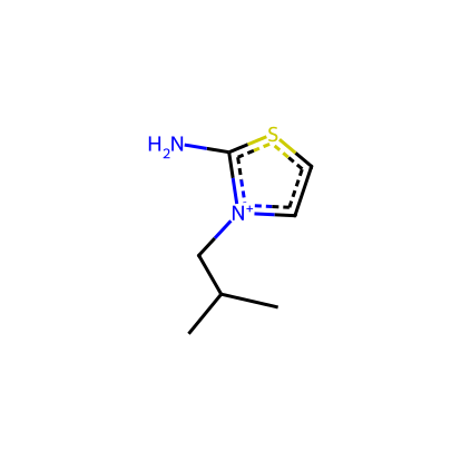 CC(C)C[n+]1ccsc1N